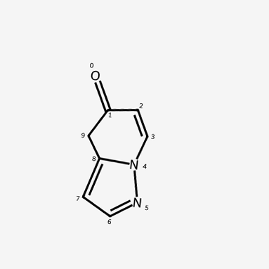 O=C1C=Cn2nccc2C1